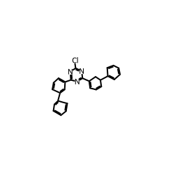 Clc1nc(C2=CC=CC(c3ccccc3)C2)nc(-c2cccc(-c3ccccc3)c2)n1